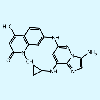 Cc1cc(=O)n(C)c2cc(Nc3cc(NC4CC4)c4ncc(N)n4n3)ccc12